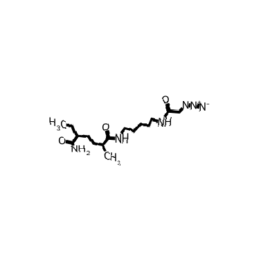 CCC(CCC(C)C(=O)NCCCCCNC(=O)CN=[N+]=[N-])C(N)=O